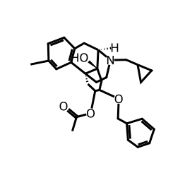 CC(=O)OC1C[C@]23CCN(CC4CC4)[C@H](Cc4ccc(C)cc42)[C@]3(O)CC1OCc1ccccc1